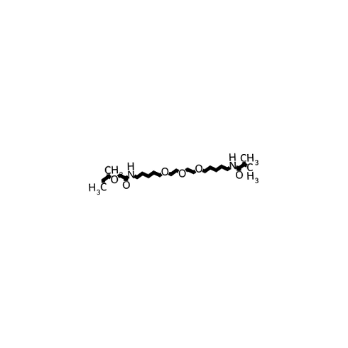 CCC(C)OCC(=O)NCCCCCOCCOCCOCCCCCNC(=O)C(C)C